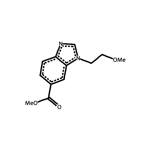 COCCn1cnc2ccc(C(=O)OC)cc21